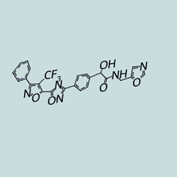 O=C(NCc1cnco1)C(O)c1ccc(-c2noc(-c3onc(-c4ccccc4)c3C(F)(F)F)n2)cc1